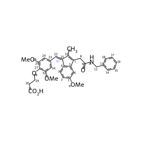 COc1ccc2c(c1)C(CC(=O)NCc1ccccc1)=C(C)/C2=C/c1cc(OC)c(OCCC(=O)O)c(OC)c1